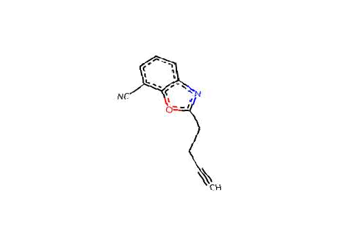 C#CCCc1nc2cccc(C#N)c2o1